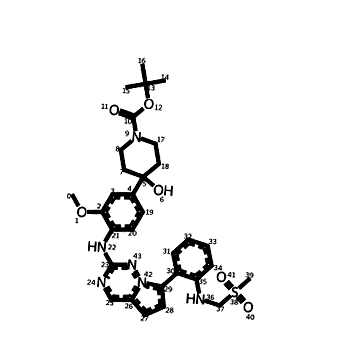 COc1cc(C2(O)CCN(C(=O)OC(C)(C)C)CC2)ccc1Nc1ncc2ccc(-c3ccccc3NCS(C)(=O)=O)n2n1